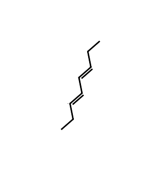 CC/[C]=C/C=CCC